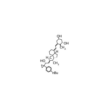 C=C1/C(=C\C=C2/CCC[C@]3(C)[C@@H]([C@H](C)/C=C/[C@@H](O)C4(c5ccc(CCCC)cc5)CC4)CC[C@@H]23)C[C@@H](O)C[C@@H]1O